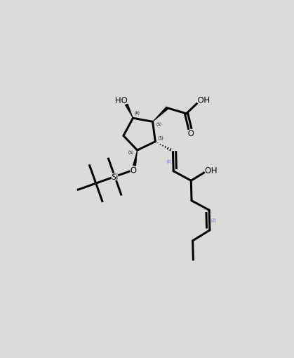 CC/C=C\CC(O)/C=C/[C@H]1[C@H](CC(=O)O)[C@H](O)C[C@@H]1O[Si](C)(C)C(C)(C)C